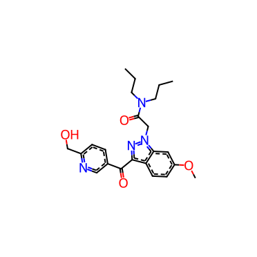 CCCN(CCC)C(=O)Cn1nc(C(=O)c2ccc(CO)nc2)c2ccc(OC)cc21